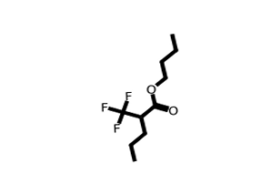 CCCCOC(=O)C(CCC)C(F)(F)F